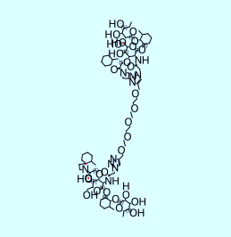 CC1CCC[C@@H](O[C@@H]2OC(CO)[C@H](O)C(O[C@@H](CC3CCCCC3)C(=O)N3CCC3)C2NC(=O)Cn2cc(COCCOCCOCCOCCOCc3cn(CC(=O)NC4C(O[C@@H](CC5CCCCC5)C(=O)N5CCC5)[C@@H](O)C(CO)O[C@H]4O[C@@H]4CCCC(C)C4O[C@@H]4OC(C)[C@@H](O)C(O)C4O)nn3)nn2)C1O[C@@H]1OC(C)[C@@H](O)C(O)C1O